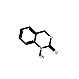 CCCN1C(=O)OCc2ccccc21